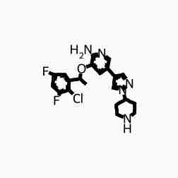 CC(Oc1cc(-c2cnn(C3CCNCC3)c2)cnc1N)c1cc(F)cc(F)c1Cl